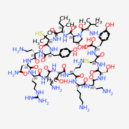 CC[C@H](C)[C@H](NC(=O)[C@@H]1C[C@@H](O)CN1C(=O)[C@@H](N)C(C)C)C(=O)N[C@H](C(=O)N[C@@H](Cc1ccc(O)cc1)C(=O)N[C@@H](CCN)C(=O)N[C@@H](CC(N)=O)C(=O)N[C@@H](CCCNC(=N)N)C(=O)N[C@@H](CCN)C(=O)N[C@H](C(=O)N[C@H](CCN)C(=O)N[C@@H](CCCCN)C(=O)N[C@@H](CCN)C(=O)N[C@@H](CO)C(=O)N[C@@H](CS)C(=O)N[C@@H](Cc1ccc(O)cc1)C(=O)O)[C@@H](C)O)C(C)(C)S